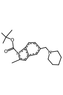 Cc1cc2cc(CN3CCCCC3)ccc2n1C(=O)OC(C)(C)C